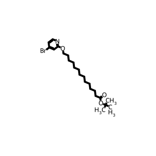 CC(C)(C)OC(=O)CCCCCCCCCCCCCOc1cc(Br)ccn1